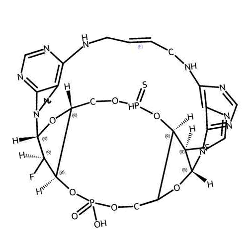 O=P1(O)OCC2O[C@@H]3[C@H](F)[C@@H]2O[PH](=S)OC[C@H]2O[C@H]([C@H](F)[C@@H]2O1)n1cnc2c(ncnc21)NC/C=C/CNc1ncnc2c1ncn23